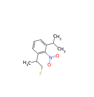 C[C](CF)c1cccc(C(C)C)c1[N+](=O)[O-]